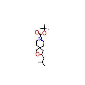 CC(C)CC1CC2(CCN(C(=O)OC(C)(C)C)CC2)CO1